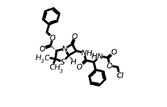 CC1(C)S[C@@H]2C(NC(=O)C(NC(=O)OCCl)c3ccccc3)C(=O)N2[C@H]1C(=O)OCc1ccccc1